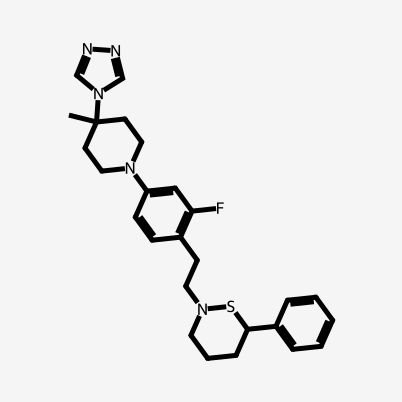 CC1(n2cnnc2)CCN(c2ccc(CCN3CCCC(c4ccccc4)S3)c(F)c2)CC1